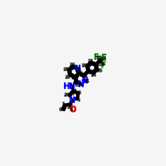 C=CC(=O)N1CC[C@H](Nc2nnc(-c3ccc(C(F)(F)F)cc3)c3ncccc23)C1